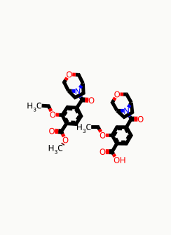 CCOc1cc(C(=O)N2C3CCC2COC3)ccc1C(=O)O.CCOc1cc(C(=O)N2C3CCC2COC3)ccc1C(=O)OC